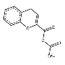 CC(=O)OC(=O)C1=CCc2ccccc2O1